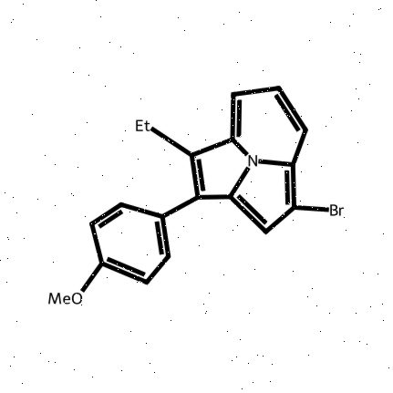 CCc1c(-c2ccc(OC)cc2)c2cc(Br)c3cccc1n32